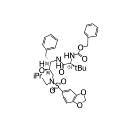 CC(C)CN(C[C@@H](O)[C@H](Cc1ccccc1)NC(=O)[C@@H](NC(=O)OCc1ccccc1)C(C)(C)C)S(=O)(=O)c1ccc2c(c1)OCO2